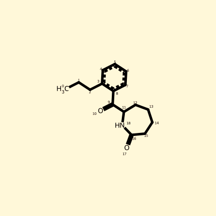 CCCc1ccccc1C(=O)C1CCCCC(=O)N1